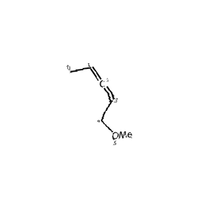 CC=C=CCOC